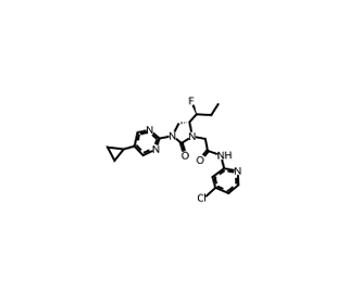 CC[C@H](F)[C@H]1CN(c2ncc(C3CC3)cn2)C(=O)N1CC(=O)Nc1cc(Cl)ccn1